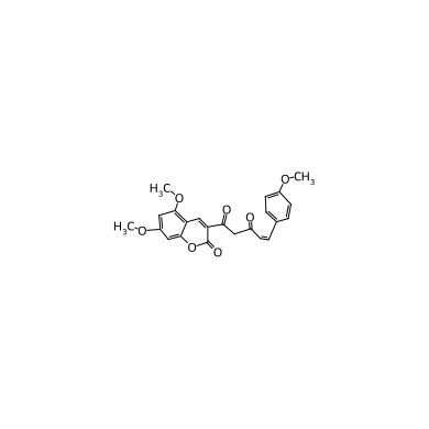 COc1ccc(/C=C\C(=O)CC(=O)c2cc3c(OC)cc(OC)cc3oc2=O)cc1